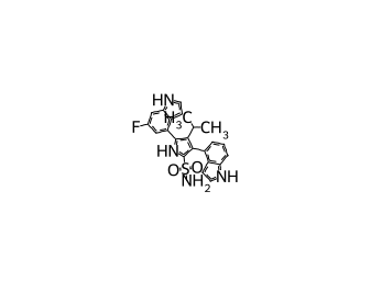 CC(C)c1c(-c2cc(F)cc3[nH]ccc23)[nH]c(S(N)(=O)=O)c1-c1cccc2[nH]ccc12